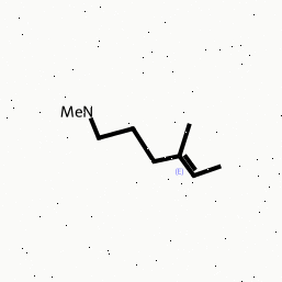 C/C=C(\C)CCCNC